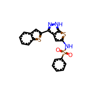 O=S(=O)(Nc1cc2c(-c3cc4ccccc4s3)n[nH]c2s1)c1ccccc1